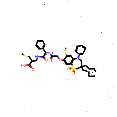 CCCCC1(CCCC)CN(c2ccccc2)c2cc(SC)c(OCC(=O)N[C@@H](C(=O)NCC(CSC)C(=O)O)c3ccccc3)cc2S(=O)(=O)C1